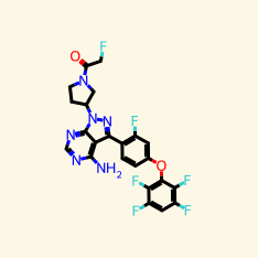 Nc1ncnc2c1c(-c1ccc(Oc3c(F)c(F)cc(F)c3F)cc1F)nn2C1CCN(C(=O)CF)C1